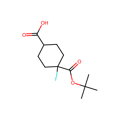 CC(C)(C)OC(=O)C1(F)CCC(C(=O)O)CC1